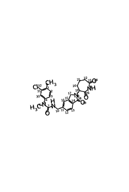 Cc1ccc(N(C)C(=O)NCc2ccc3c(c2)CN([C@H]2CCCC(=O)NC2=O)C3=O)cc1Cl